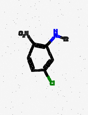 CCNc1cc(Cl)ccc1[N+](=O)[O-]